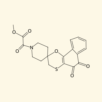 COC(=O)C(=O)N1CCC2(CC1)CSC1=C(O2)c2ccccc2C(=O)C1=O